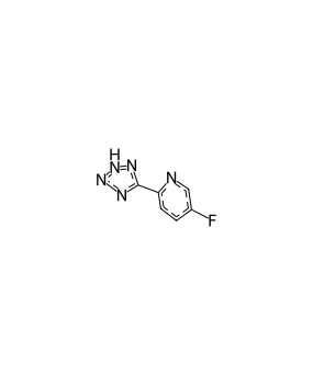 Fc1ccc(-c2nn[nH]n2)nc1